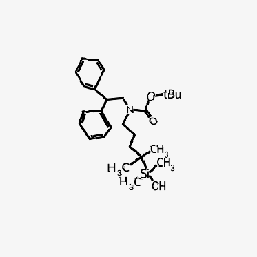 CC(C)(C)OC(=O)N(CCCC(C)(C)[Si](C)(C)O)CC(c1ccccc1)c1ccccc1